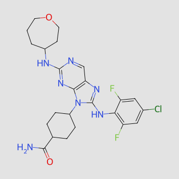 NC(=O)C1CCC(n2c(Nc3c(F)cc(Cl)cc3F)nc3cnc(NC4CCCOCC4)nc32)CC1